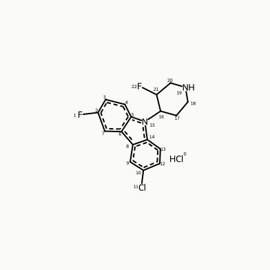 Cl.Fc1ccc2c(c1)c1cc(Cl)ccc1n2C1CCNCC1F